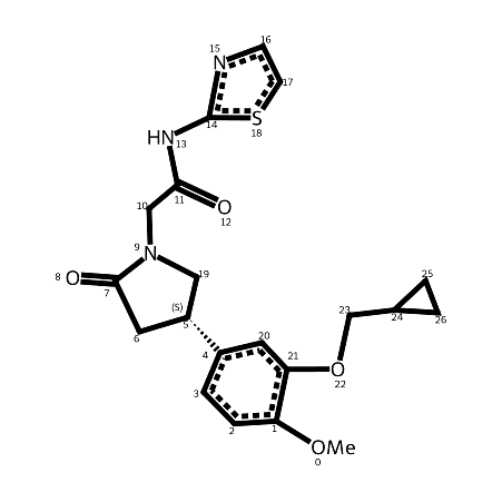 COc1ccc([C@@H]2CC(=O)N(CC(=O)Nc3nccs3)C2)cc1OCC1CC1